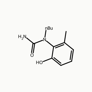 CCCCN(C(N)=O)c1c(C)cccc1O